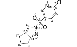 O=S(=O)(c1ccc(Cl)nc1)n1cc2c(n1)CCC2